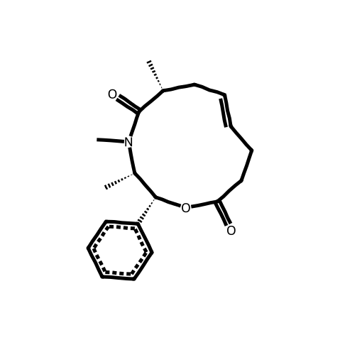 C[C@@H]1C/C=C/CCC(=O)O[C@H](c2ccccc2)[C@H](C)N(C)C1=O